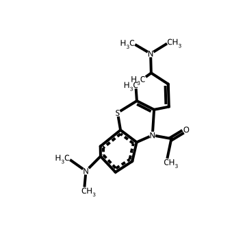 CC(=O)N1C(/C=C\C(C)N(C)C)=C(C)Sc2cc(N(C)C)ccc21